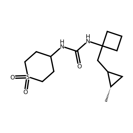 C[C@H]1CC1CC1(NC(=O)NC2CCS(=O)(=O)CC2)CCC1